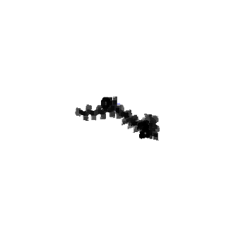 CCCCCCC(O)C/C=C\CCCCCCCC(O)[Si](C)(C)C(C)(C)C